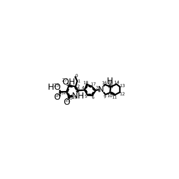 CCc1c(-c2ccc(N3CC4=CCCC[C@@H]4C3)cc2)[nH]c(=O)c(C(=O)O)c1O